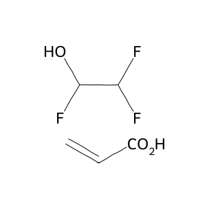 C=CC(=O)O.OC(F)C(F)F